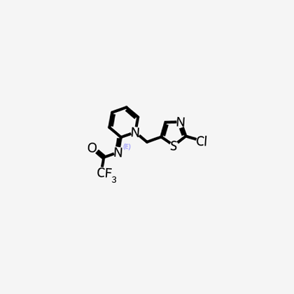 O=C(/N=c1\ccccn1Cc1cnc(Cl)s1)C(F)(F)F